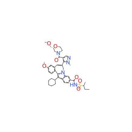 CCC(C)S(=O)(=O)NC(=O)c1ccc2c(C3CCCCC3)c3n(c2c1)CC(c1c(C(=O)N2CCO[C@@H](COC)C2)cnn1C)=Cc1cc(OC)ccc1-3